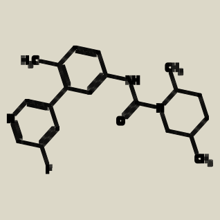 Cc1ccc(NC(=O)N2CC(C)CCC2C)cc1-c1cncc(F)c1